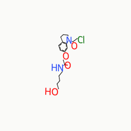 O=C(COc1ccc2c(c1)N(C(=O)CCl)CCC2)NCCCCCO